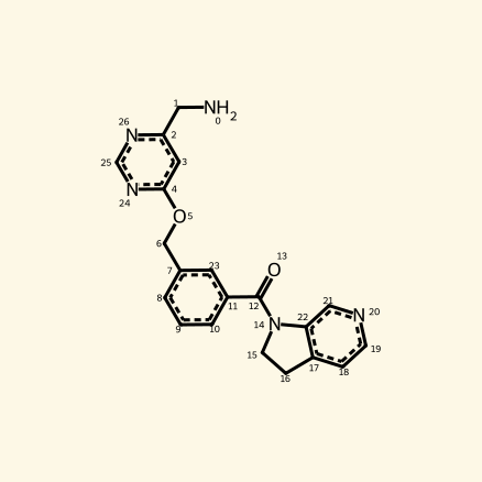 NCc1cc(OCc2cccc(C(=O)N3CCc4ccncc43)c2)ncn1